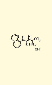 OCNC(NC(=S)NC1=c2ncccc2=CCC=C1)C(Cl)(Cl)Cl